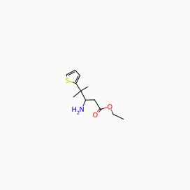 CCOC(=O)CC(N)C(C)(C)c1cccs1